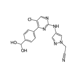 N#CCn1cc(Nc2ncc(Cl)c(-c3ccc(C(O)O)cc3)n2)cn1